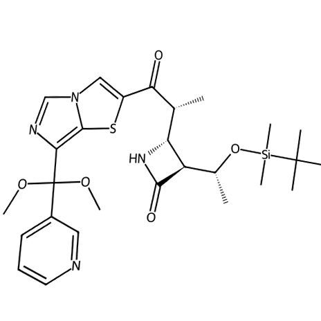 COC(OC)(c1cccnc1)c1ncn2cc(C(=O)[C@H](C)[C@H]3NC(=O)[C@@H]3[C@@H](C)O[Si](C)(C)C(C)(C)C)sc12